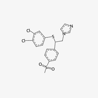 CS(=O)(=O)c1ccc(C(Cn2ccnc2)Sc2ccc(Cl)c(Cl)c2)cc1